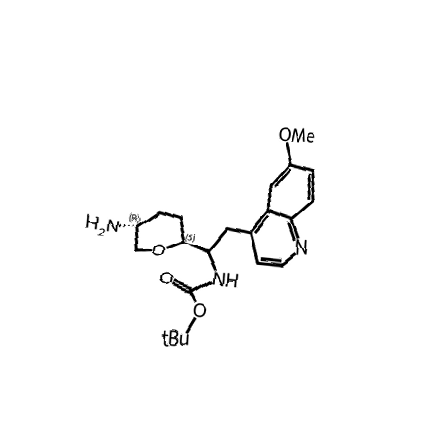 COc1ccc2nccc(CC(NC(=O)OC(C)(C)C)[C@@H]3CC[C@@H](N)CO3)c2c1